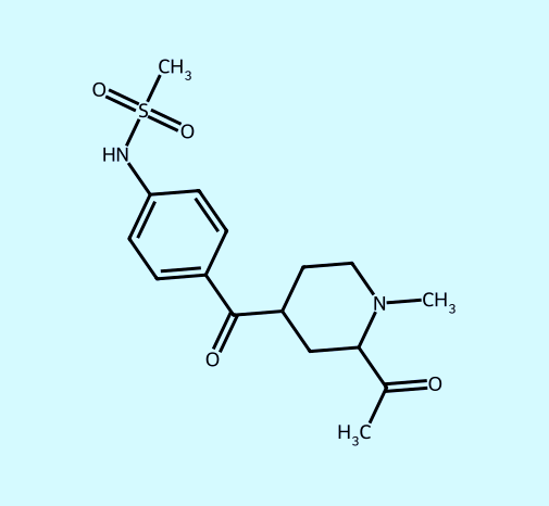 CC(=O)C1CC(C(=O)c2ccc(NS(C)(=O)=O)cc2)CCN1C